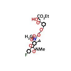 CCOC(=O)C(O)=CC(=O)c1cccc(COCCOCCN(c2cc3oc(-c4ccc(F)cc4)c(C(=O)NC)c3cc2C2CC2)S(C)(=O)=O)c1